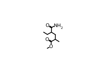 CCC(CC(C)C(=O)OC)C(N)=O